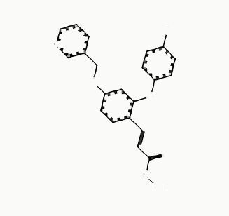 O=C(/C=C/c1ccc(OCc2cccnc2)cc1Oc1ccc(F)cc1)NO